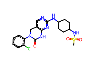 CS(=O)(=O)NC1CCC(Nc2ncc3c(n2)NC(=O)N(c2ccccc2Cl)C3)CC1